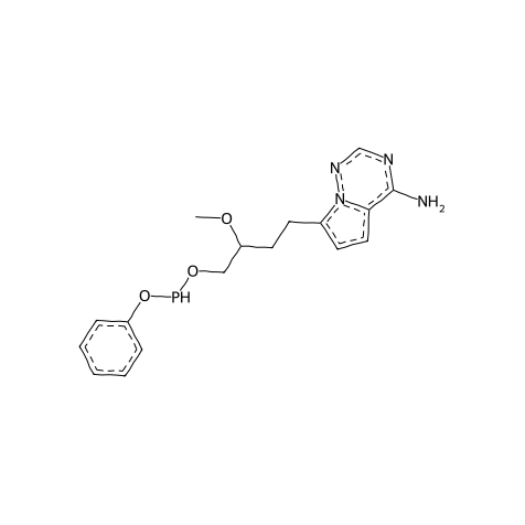 COC(CCc1ccc2c(N)ncnn12)COPOc1ccccc1